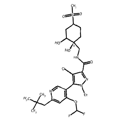 CCn1nc(C(=O)NC[C@@]2(O)CCC(S(C)(=O)=O)CC2O)c(Cl)c1-c1cnc(CC(C)(C)C(F)(F)F)cc1OC(F)F